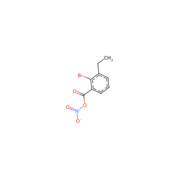 CCc1cccc(C(=O)O[N+](=O)[O-])c1Br